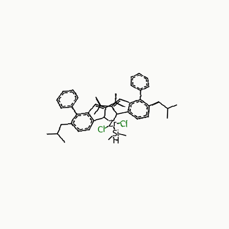 CC(C)Cc1ccc2c(c1-c1ccccc1)C=C(C(C)C)[CH]2[Zr]([Cl])([Cl])([CH]1C(C(C)C)=Cc2c1ccc(CC(C)C)c2-c1ccccc1)[SiH](C)C